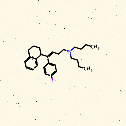 CCCCN(CCC=C(c1ccc(I)cc1)C1CCCc2ccccc21)CCCC